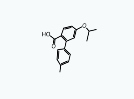 Cc1ccc(-c2cc(OC(C)C)ccc2C(=O)O)cc1